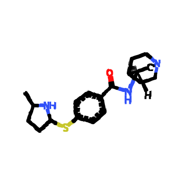 CC1CCC(Sc2ccc(C(=O)N[C@H]3CN4CCC3CC4)cc2)N1